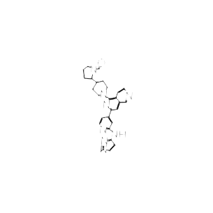 Cn1ccc(Nc2cc(-c3cc4cnccc4c(N4CCC(C5CCCN5C=O)CC4)n3)ccn2)n1